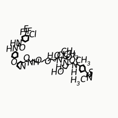 Cc1ncsc1-c1ccc([C@H](C)NC(=O)[C@H]2C[C@H](O)CN2C(=O)C(NC(=O)CCOCCOCCNC(=O)c2cc(Oc3ccc(NC(=O)Nc4ccc(Cl)c(C(F)(F)F)c4)cc3)ccn2)C(C)(C)C)cc1